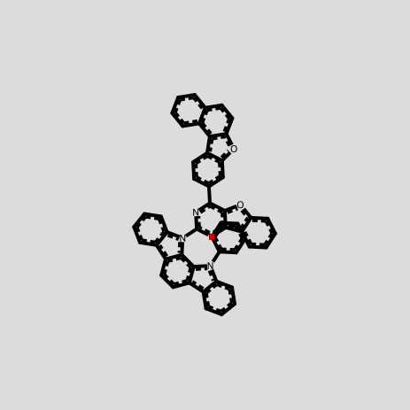 c1ccc(-n2c3ccccc3c3ccc4c5ccccc5n(-c5nc(-c6ccc7c(c6)oc6ccc8ccccc8c67)c6oc7ccccc7c6n5)c4c32)cc1